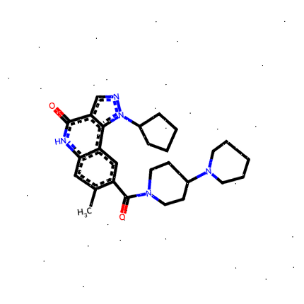 Cc1cc2[nH]c(=O)c3cnn(C4CCCC4)c3c2cc1C(=O)N1CCC(N2CCCCC2)CC1